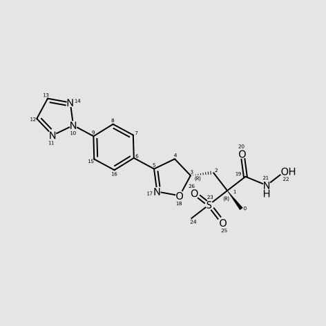 C[C@@](C[C@H]1CC(c2ccc(-n3nccn3)cc2)=NO1)(C(=O)NO)S(C)(=O)=O